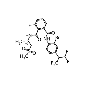 C[C@@H](CS(C)(=O)=O)NC(=O)c1c(I)cccc1C(=O)Nc1ccc(C(C(F)F)C(F)(F)F)cc1Br